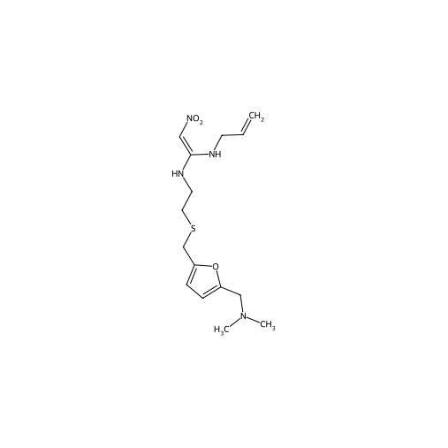 C=CCNC(=C[N+](=O)[O-])NCCSCc1ccc(CN(C)C)o1